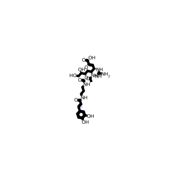 CC(=O)N[C@H]1[C@H]([C@H](OC(=O)NCCCNC(=O)/C=C/c2ccc(O)c(O)c2)[C@H](O)CO)OC(C(=O)O)=C[C@@H]1NC(=N)N